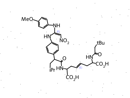 COc1ccc(N/C(=C/[N+](=O)[O-])Nc2ccc(C(CC(C)C)C(=O)NC(C/C=C/CC(NC(=O)CC(C)(C)C)C(=O)O)C(=O)O)cc2)cc1